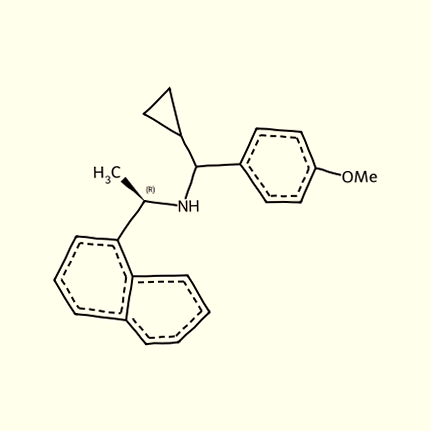 COc1ccc(C(N[C@H](C)c2cccc3ccccc23)C2CC2)cc1